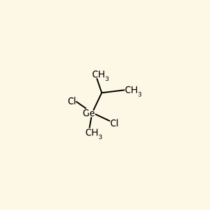 C[CH](C)[Ge]([CH3])([Cl])[Cl]